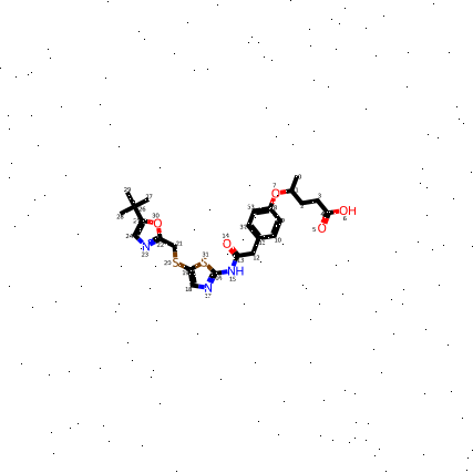 CC(CCC(=O)O)Oc1ccc(CC(=O)Nc2ncc(SCc3ncc(C(C)(C)C)o3)s2)cc1